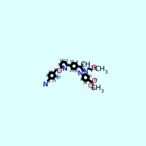 COCCn1c([C@H](C)c2ccc(-c3cccc(OCc4ccc(C#N)cc4F)n3)cc2)nc2ccc(C(=O)OC)cc21